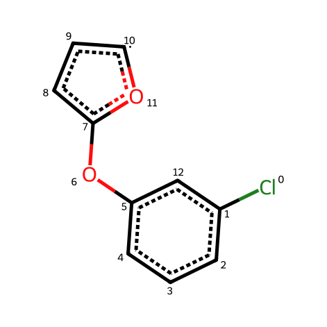 Clc1cccc(Oc2cc[c]o2)c1